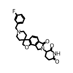 O=C1CCC(N2Cc3c(ccc4c3OCC43CCN(Cc4cccc(F)c4)CC3)C2=O)C(=O)N1